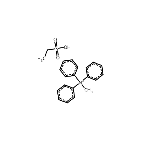 CCS(=O)(=O)O.C[N+](c1ccccc1)(c1ccccc1)c1ccccc1